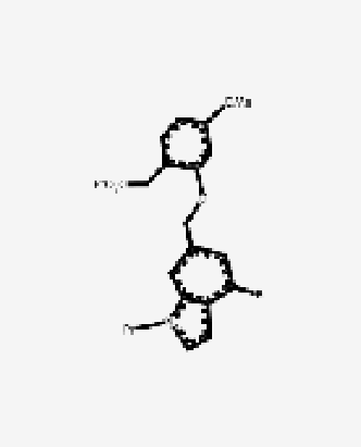 CCOC(=O)Cc1ccc(OC)cc1OCc1cc(Br)c2ccn(C(C)C)c2c1